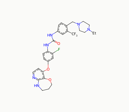 CCN1CCN(Cc2ccc(NC(=O)Nc3ccc(Oc4ccnc5c4OCCCN5)cc3F)cc2C(F)(F)F)CC1